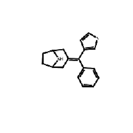 c1ccc(C(=C2CC3CCC(C2)N3)c2ccsc2)cc1